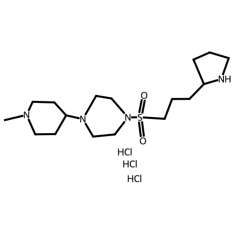 CN1CCC(N2CCN(S(=O)(=O)CCCC3CCCN3)CC2)CC1.Cl.Cl.Cl